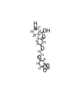 O=C(O)C1=C(c2ccc(OCCOc3ccc4c(c3)OCO4)cc2)CCNC1